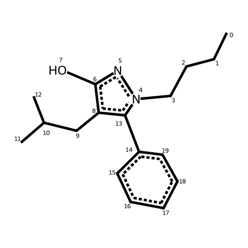 CCCCn1nc(O)c(CC(C)C)c1-c1ccccc1